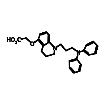 O=C(O)COc1cccc2c1CCCN2CCCN(c1ccccc1)c1ccccc1